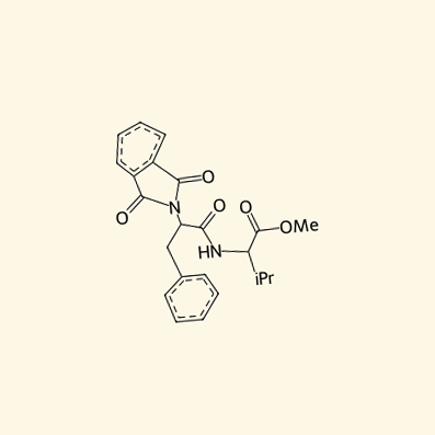 COC(=O)C(NC(=O)C(Cc1ccccc1)N1C(=O)c2ccccc2C1=O)C(C)C